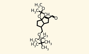 COC(C)(C)OC12C=C(C=O)CC1C(CO[Si](C)(C)C(C)(C)C)CC2